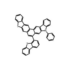 c1ccc(-n2c3ccccc3c3cc4c(cc32)c(-c2cccc3c2sc2ccccc23)cc2cc3sc5ccccc5c3cc24)cc1